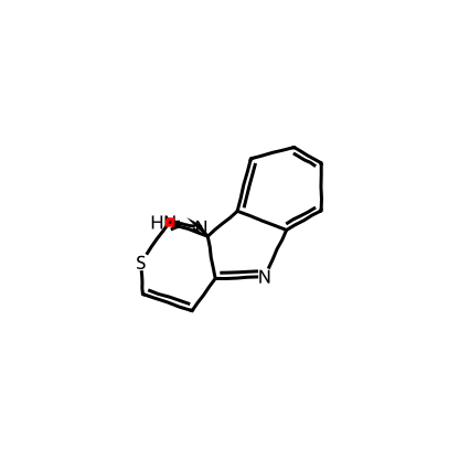 C1=CC2=Nc3ccccc3C23C=NNC=C3S1